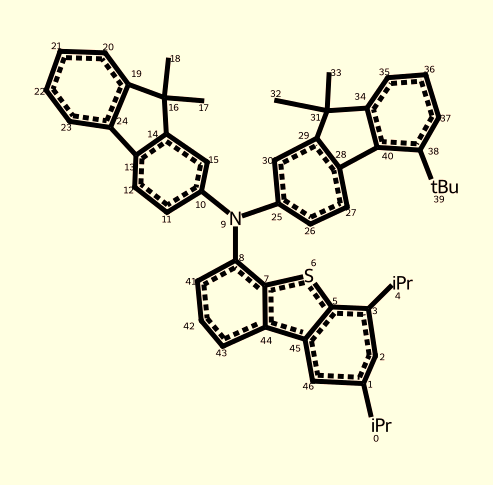 CC(C)c1cc(C(C)C)c2sc3c(N(c4ccc5c(c4)C(C)(C)c4ccccc4-5)c4ccc5c(c4)C(C)(C)c4cccc(C(C)(C)C)c4-5)cccc3c2c1